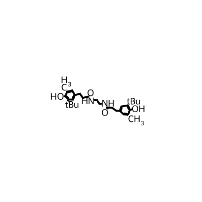 Cc1cc(CCC(=O)NCCNC(=O)CCc2cc(C)c(O)c(C(C)(C)C)c2)cc(C(C)(C)C)c1O